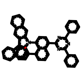 c1ccc(-c2nc(-c3ccccc3)nc(-c3ccc(-n4c5cc6ccccc6cc5c5c6ccccc6ccc54)c4c(-c5ccccc5)cccc34)n2)cc1